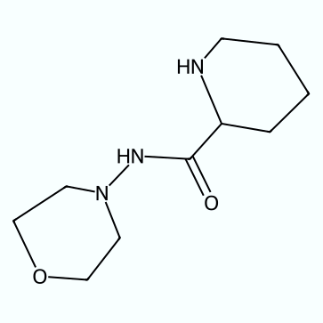 O=C(NN1CCOCC1)C1CCCCN1